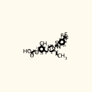 CCC[C@@H]1CN(Cc2cc(C)cc(OCC(=O)O)c2)CCN1c1nc2ccc(C(F)(F)F)cc2s1